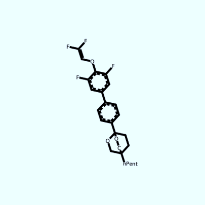 CCCCCC12CCC(c3ccc(-c4cc(F)c(OC=C(F)F)c(F)c4)cc3)(OC1)OC2